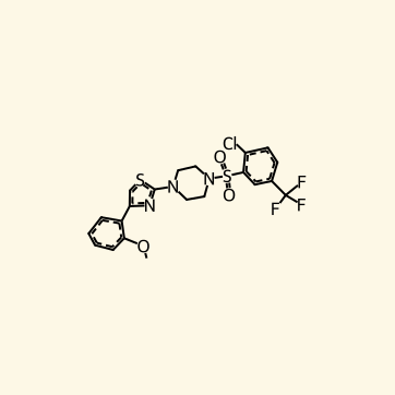 COc1ccccc1-c1csc(N2CCN(S(=O)(=O)c3cc(C(F)(F)F)ccc3Cl)CC2)n1